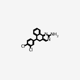 Nc1ncc2c(n1)-c1ccccc1C(c1ccc(Cl)c(Cl)c1)C2